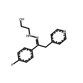 OCCNN=C(Cc1ccncc1)c1ccc(F)cc1